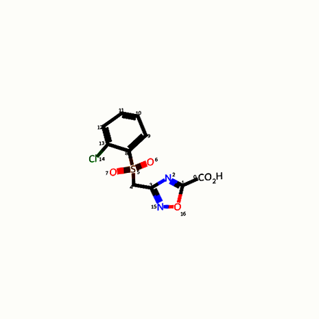 O=C(O)c1nc(CS(=O)(=O)c2ccccc2Cl)no1